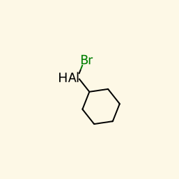 [Br][AlH][CH]1CCCCC1